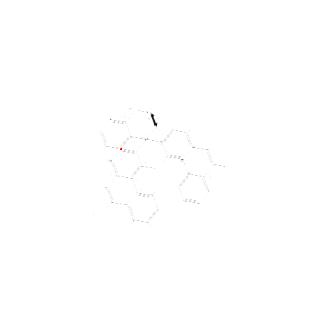 Cc1cc2ccc3c(c2c2ccccc12)Oc1c(ccc2cc(O)c4ccccc4c12)C31c2ccccc2Sc2ccccc21